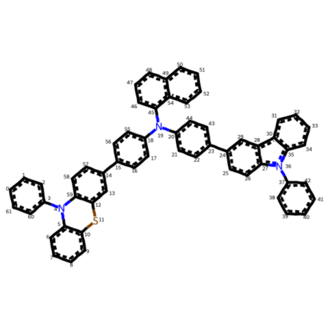 c1ccc(N2c3ccccc3Sc3cc(-c4ccc(N(c5ccc(-c6ccc7c(c6)c6ccccc6n7-c6ccccc6)cc5)c5cccc6ccccc56)cc4)ccc32)cc1